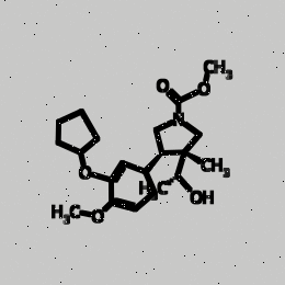 COC(=O)N1C[C@H](C2C=C(OC3CCCC3)C(OC)=CC2)[C@@](C)([C@@H](C)O)C1